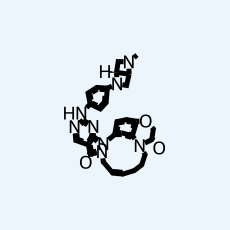 CN1C[C@H]2C1CN2c1ccc(Nc2ncc3c(=O)n4n(c3n2)-c2ccc3c(c2)N(CCC/C=C\C4)C(=O)CO3)cc1